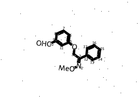 CO/N=C(\COc1cccc(C=O)c1)c1ccccc1